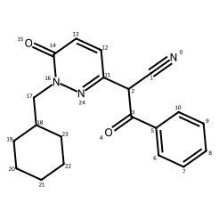 N#CC(C(=O)c1ccccc1)c1ccc(=O)n(CC2CCCCC2)n1